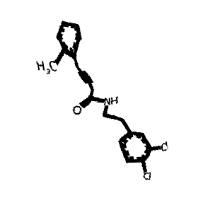 Cc1ccccc1C#CC(=O)NCCc1ccc(Cl)c(Cl)c1